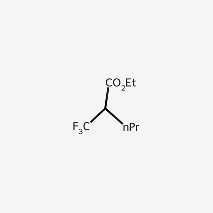 CCCC(C(=O)OCC)C(F)(F)F